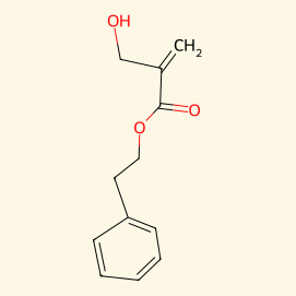 C=C(CO)C(=O)OCCc1ccccc1